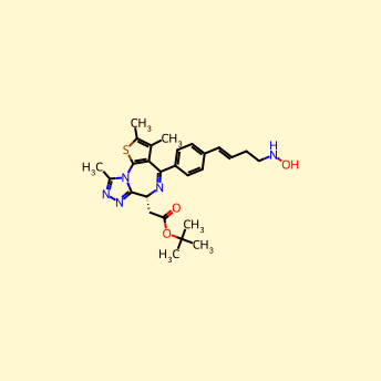 Cc1sc2c(c1C)C(c1ccc(C=CCCNO)cc1)=N[C@H](CC(=O)OC(C)(C)C)c1nnc(C)n1-2